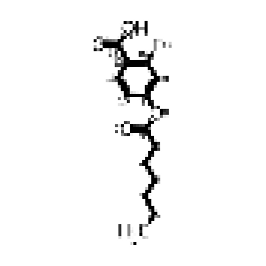 CCCCCCC(=O)Oc1ccc(C(=O)O)c(F)c1